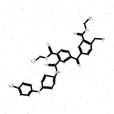 CC(C)Cc1ccc(C(=O)c2ccc(C(=O)OCC(F)(F)F)c(C(=O)Nc3ccc(Oc4ccc(N)cc4)cc3)c2)cc1C(=O)OCC(F)(F)F